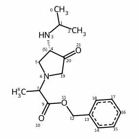 CC(C)N[C@H]1CN(C(C)C(=O)OCc2ccccc2)CC1=O